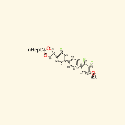 CCCCCCCC1OCC(c2ccc(-c3ccc(-c4ccc(OCC)c(F)c4F)cc3)cc2F)CO1